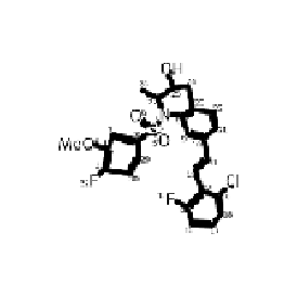 COc1cc(S(=O)(=O)N2c3cc(C=Cc4c(F)cccc4Cl)ccc3CC(O)C2C)ccc1F